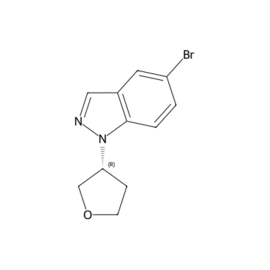 Brc1ccc2c(cnn2[C@@H]2CCOC2)c1